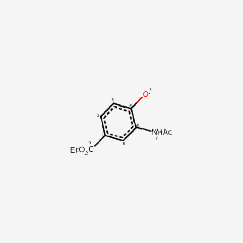 CCOC(=O)c1ccc([O])c(NC(C)=O)c1